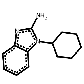 Nc1nc2ccccc2n1C1CCCCC1